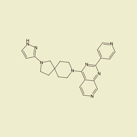 c1cc(-c2nc(N3CCC4(CCN(c5cc[nH]n5)C4)CC3)c3ccncc3n2)ccn1